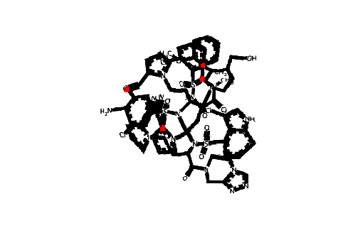 COc1ccccc1CN(C)C(=O)C(CC(N(C(CCn1cccc1C#N)C(=O)N1CCC(CO)CC1)S(=O)(=O)c1cc(Cl)c(N)c(Cl)c1)(N(C(CCn1cccc1C#N)C(=O)N1CCn2cnnc2C1)S(=O)(=O)c1cccc2[nH]cc(Cl)c12)n1cccc1C#N)NS(=O)(=O)c1c(C)cccc1Cl